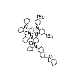 Cc1cccc(C)c1N1c2cc(N(c3ccccc3)c3ccc4cc(-c5cc6ccccc6o5)ccc4c3)ccc2B2c3cc(C(C)(C)C)ccc3N(c3ccc(C(C)(C)C)cc3)c3cc(N(c4ccccc4)c4ccccc4)cc1c32